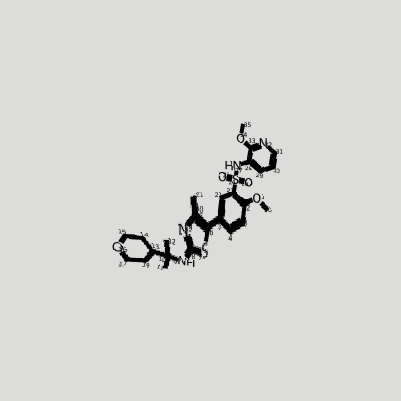 COc1ccc(-c2sc(NC(C)(C)C3CCOCC3)nc2C)cc1S(=O)(=O)Nc1cccnc1OC